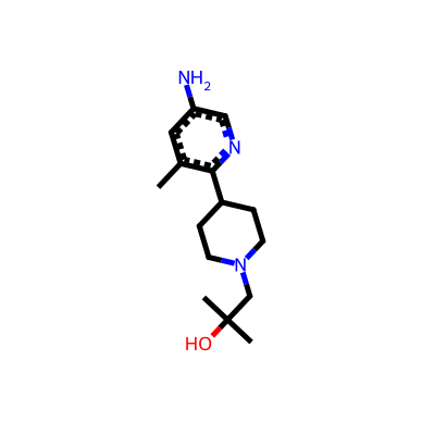 Cc1cc(N)cnc1C1CCN(CC(C)(C)O)CC1